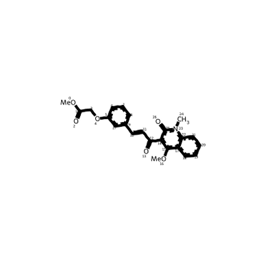 COC(=O)COc1cccc(C=CC(=O)c2c(OC)c3ccccc3n(C)c2=O)c1